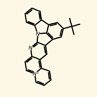 CC(C)(C)c1cc2c3ccccc3n3c4nc5cc[n+]6ccccc6c5cc4c(c1)c23